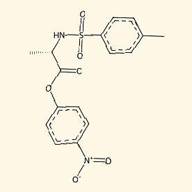 Cc1ccc(S(=O)(=O)N[C@@H](C)C(=O)Oc2ccc([N+](=O)[O-])cc2)cc1